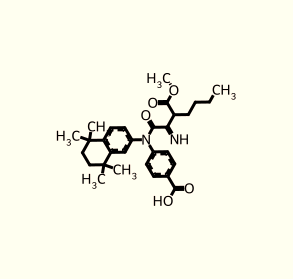 CCCCC(C(=N)C(=O)N(c1ccc(C(=O)O)cc1)c1ccc2c(c1)C(C)(C)CCC2(C)C)C(=O)OC